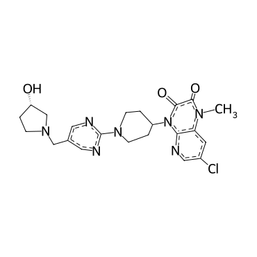 Cn1c(=O)c(=O)n(C2CCN(c3ncc(CN4CC[C@H](O)C4)cn3)CC2)c2ncc(Cl)cc21